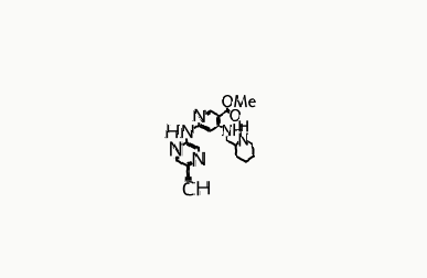 C#Cc1cnc(Nc2cc(NCC3CCCCN3)c(C(=O)OC)cn2)cn1